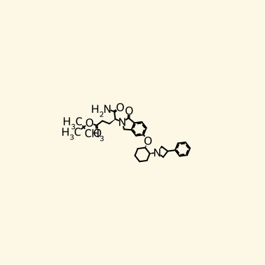 CC(C)(C)OC(=O)CC[C@@H](C(N)=O)N1Cc2cc(O[C@H]3CCCC[C@@H]3N3CC(c4ccccc4)C3)ccc2C1=O